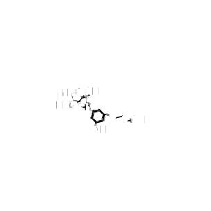 COCCOc1cc(O)cc(B2OC(C)(C)C(C)(C)O2)c1